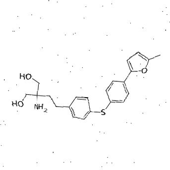 Cc1ccc(-c2ccc(Sc3ccc(CCC(N)(CO)CO)cc3)cc2)o1